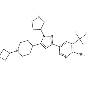 Nc1ncc(-c2cc(C3CCN(C4COC4)CC3)n(C3CCOC3)n2)cc1C(F)(F)F